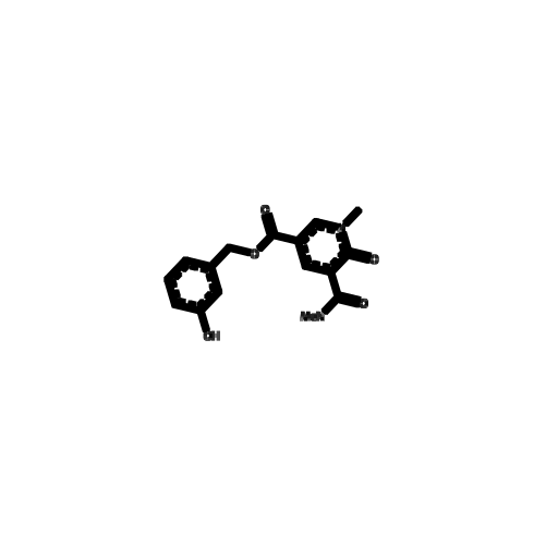 CNC(=O)c1cc(C(=O)OCc2cccc(O)c2)cn(C)c1=O